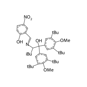 CCC(C)C(N=Cc1cc([N+](=O)[O-])ccc1O)C(O)(c1cc(C(C)(C)C)c(OC)c(C(C)(C)C)c1)c1cc(C(C)(C)C)c(OC)c(C(C)(C)C)c1